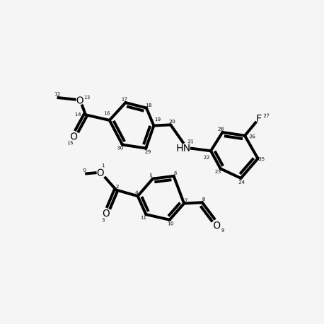 COC(=O)c1ccc(C=O)cc1.COC(=O)c1ccc(CNc2cccc(F)c2)cc1